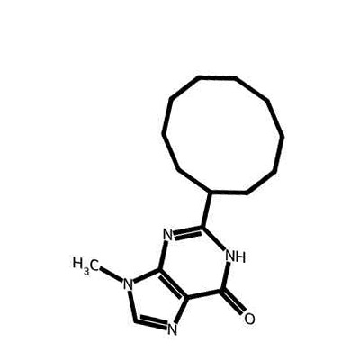 Cn1cnc2c(=O)[nH]c(C3CCCCCCCCC3)nc21